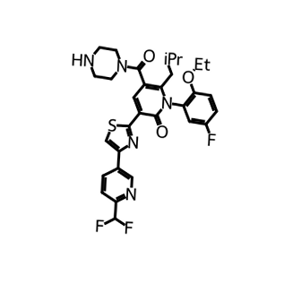 CCOc1ccc(F)cc1-n1c(CC(C)C)c(C(=O)N2CCNCC2)cc(-c2nc(-c3ccc(C(F)F)nc3)cs2)c1=O